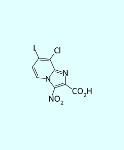 O=C(O)c1nc2c(Cl)c(I)ccn2c1[N+](=O)[O-]